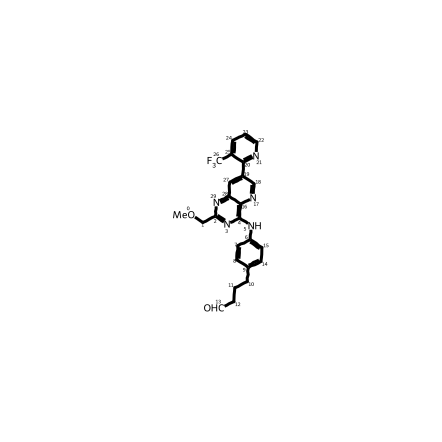 COCc1nc(Nc2ccc(CCCC=O)cc2)c2ncc(-c3ncccc3C(F)(F)F)cc2n1